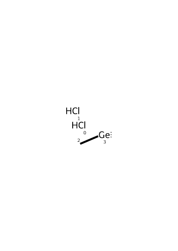 Cl.Cl.[CH3][Ge]